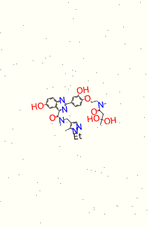 CCn1ncc(CN(C)C(=O)c2nc(-c3ccc(OCCN(C)C(=O)CC(C)(O)O)c(O)c3)nc3ccc(O)cc23)c1C